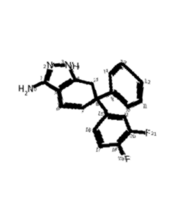 Nc1n[nH]c2c1C=CC(c1ccccc1)(c1ccc(F)c(F)c1)C2